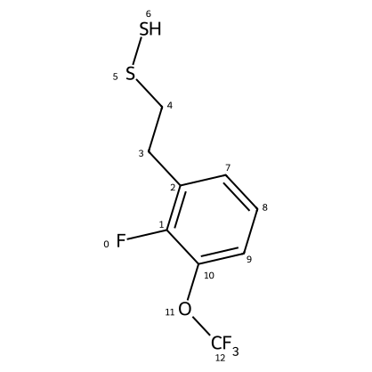 Fc1c(CCSS)cccc1OC(F)(F)F